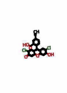 C#Cc1ccc(-c2c3cc(Cl)c(=O)cc-3oc3cc(O)c(Cl)cc23)c(C(=O)O)c1